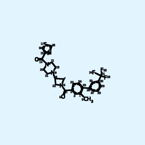 Cc1cc(C(=O)N2CC(N3CCN(C(=O)c4cscn4)CC3)C2)ccc1-c1cccc(C(F)(F)F)c1